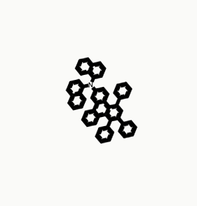 c1ccc(-c2cc(-c3ccccc3)c3c4ccc(N(c5cccc6ccccc56)c5cccc6ccccc56)cc4c4ccccc4c3c2-c2ccccc2)cc1